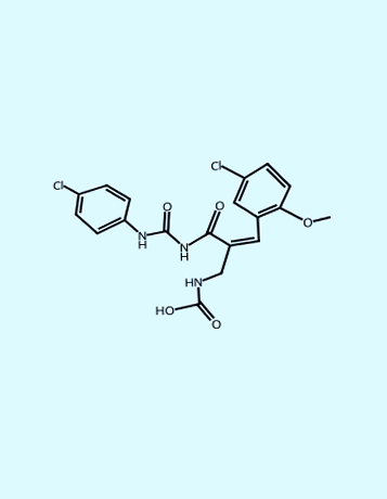 COc1ccc(Cl)cc1/C=C(/CNC(=O)O)C(=O)NC(=O)Nc1ccc(Cl)cc1